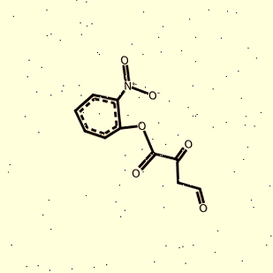 O=CCC(=O)C(=O)Oc1ccccc1[N+](=O)[O-]